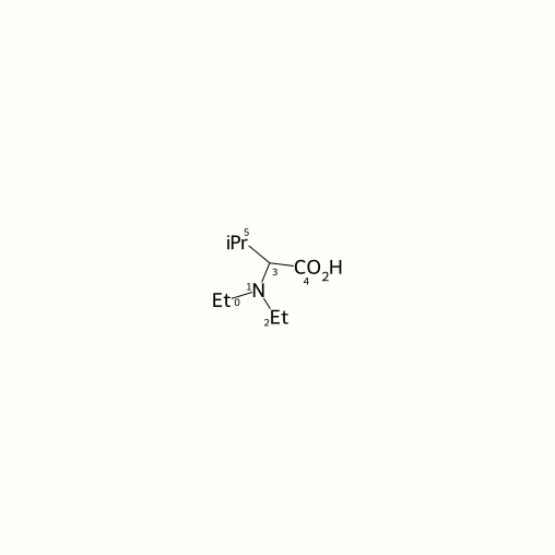 CCN(CC)C(C(=O)O)C(C)C